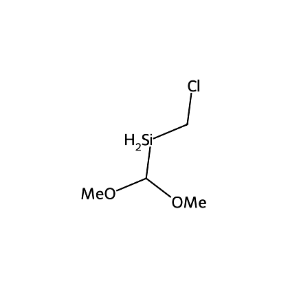 COC(OC)[SiH2]CCl